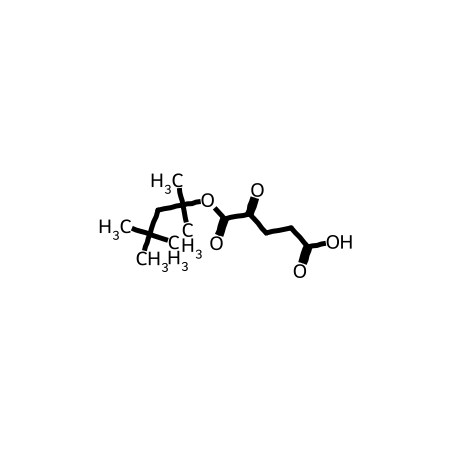 CC(C)(C)CC(C)(C)OC(=O)C(=O)CCC(=O)O